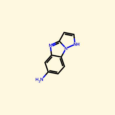 Nc1ccc2c(c1)nc1cc[nH]n12